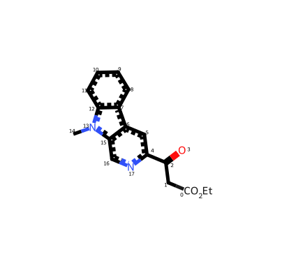 CCOC(=O)CC(=O)c1cc2c3ccccc3n(C)c2cn1